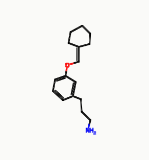 NCCCc1cccc(OC=C2CCCCC2)c1